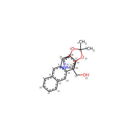 CC1(C)OC2C3c4cc5ccccc5cc4C(c4c3c[nH]c4CO)C2O1